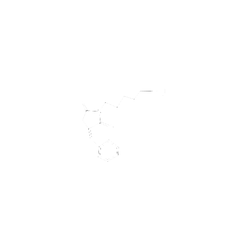 CCOC(=O)CCCCCN1C(=O)CC(=Cc2ccccc2)C1=O